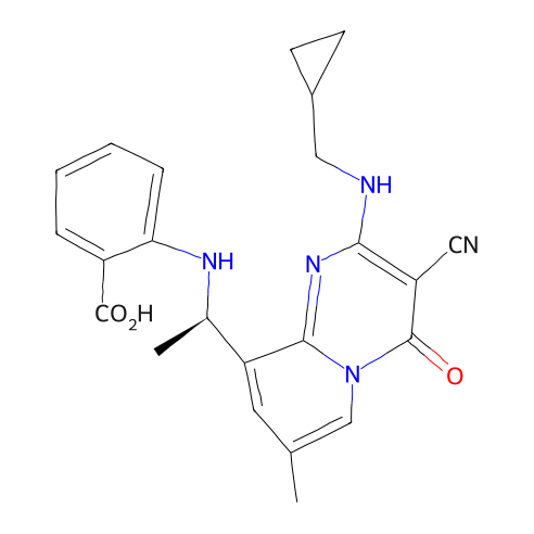 Cc1cc([C@@H](C)Nc2ccccc2C(=O)O)c2nc(NCC3CC3)c(C#N)c(=O)n2c1